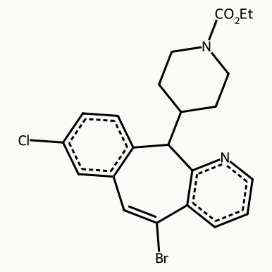 CCOC(=O)N1CCC(C2c3ccc(Cl)cc3C=C(Br)c3cccnc32)CC1